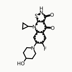 O=c1[nH]sc2c1c(=O)c1cc(F)c(N3CCC(O)CC3)cc1n2C1CC1